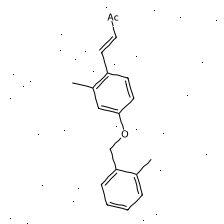 CC(=O)/C=C/c1ccc(OCc2ccccc2C)cc1C